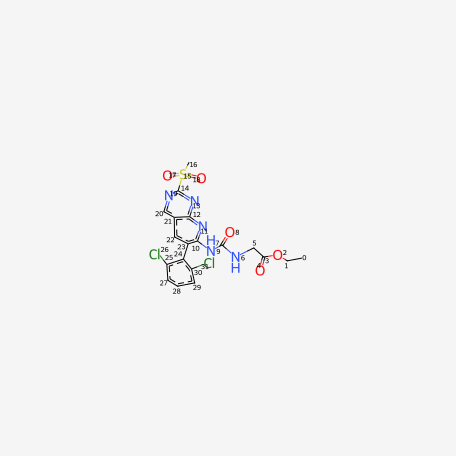 CCOC(=O)CNC(=O)Nc1nc2nc(S(C)(=O)=O)ncc2cc1-c1c(Cl)cccc1Cl